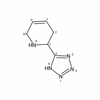 C1=CCC(c2nnn[nH]2)NC1